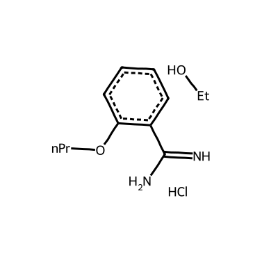 CCCOc1ccccc1C(=N)N.CCO.Cl